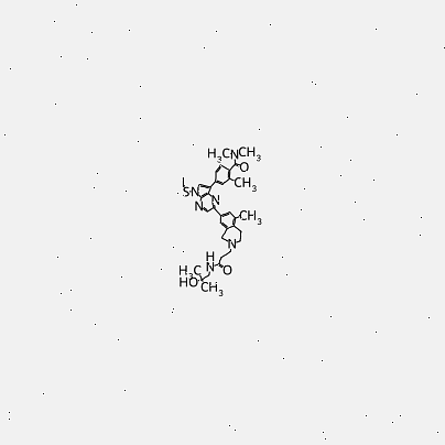 Cc1cc(-c2cn(SI)c3ncc(-c4cc(C)c5c(c4)CN(CCC(=O)NCC(C)(C)O)CC5)nc23)ccc1C(=O)N(C)C